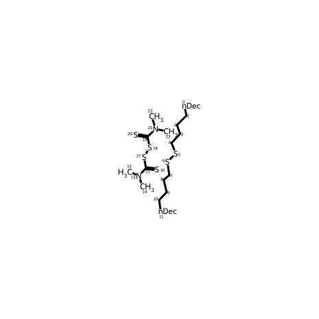 CCCCCCCCCCCCCCSSCCCCCCCCCCCCCC.CN(C)C(=S)SSC(=S)N(C)C